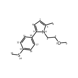 COCCn1c(C)ccc1-c1ccc(SC)cc1